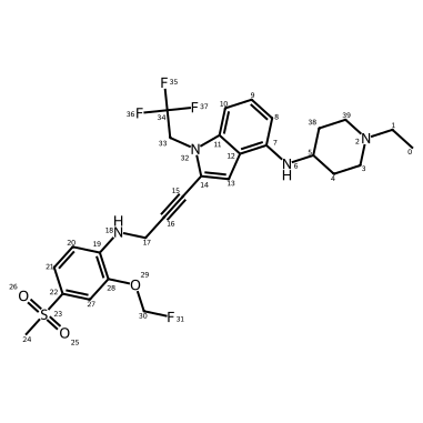 CCN1CCC(Nc2cccc3c2cc(C#CCNc2ccc(S(C)(=O)=O)cc2OCF)n3CC(F)(F)F)CC1